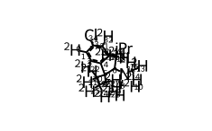 [2H]c1c([2H])c(C2(C(N(C([2H])([2H])[2H])C([2H])([2H])[2H])C([2H])([2H])C(C)C)C([2H])([2H])C([2H])([2H])C2([2H])[2H])c([2H])c([2H])c1Cl